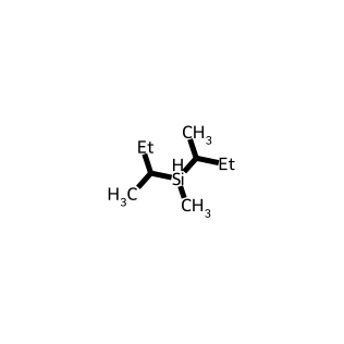 CCC(C)[SiH](C)C(C)CC